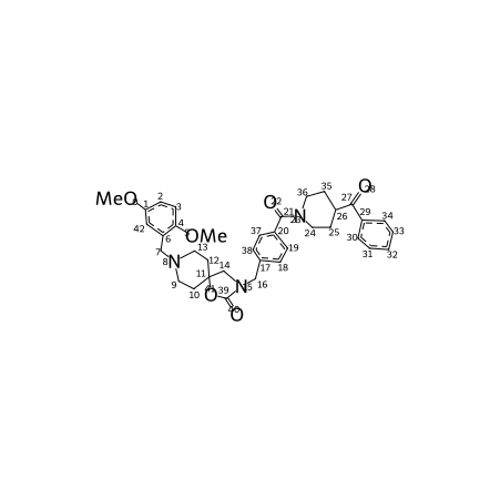 COc1ccc(OC)c(CN2CCC3(CC2)CN(Cc2ccc(C(=O)N4CCC(C(=O)c5ccccc5)CC4)cc2)C(=O)O3)c1